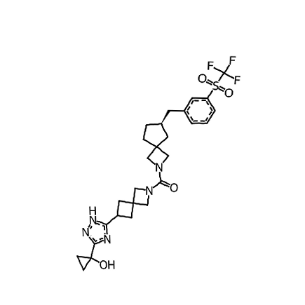 O=C(N1CC2(CC(c3nc(C4(O)CC4)n[nH]3)C2)C1)N1CC2(CC[C@@H](Cc3cccc(S(=O)(=O)C(F)(F)F)c3)C2)C1